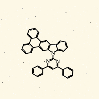 c1ccc(-c2cc(-c3ccccc3)nc(-n3c4ccccc4c4cc5c6ccccc6c6ccccc6c5cc43)n2)cc1